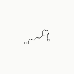 OCCC=Cc1ccccc1Cl